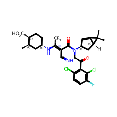 C[C@@H]1C[C@@H](N/C(=C(\C=N)C(=O)N(CC(=O)c2c(Cl)ccc(F)c2Cl)[C@H]2C=C3[C@H](C2)C3(C)C)C(F)(F)F)CC[C@@H]1C(=O)O